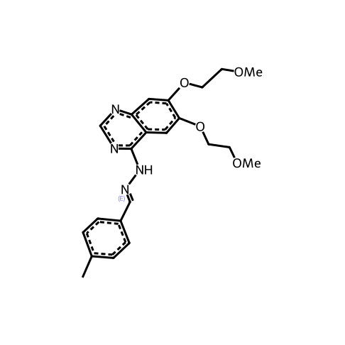 COCCOc1cc2ncnc(N/N=C/c3ccc(C)cc3)c2cc1OCCOC